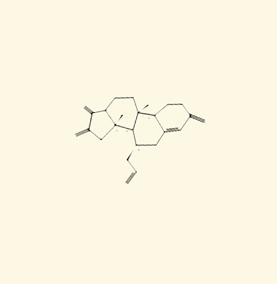 C=CC[C@@H]1CC2=CC(=O)CC[C@]2(C)[C@H]2CC[C@]3(C)C(=O)C(=O)C[C@H]3[C@H]12